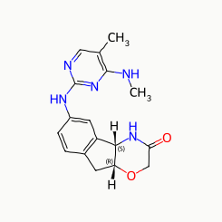 CNc1nc(Nc2ccc3c(c2)[C@@H]2NC(=O)CO[C@@H]2C3)ncc1C